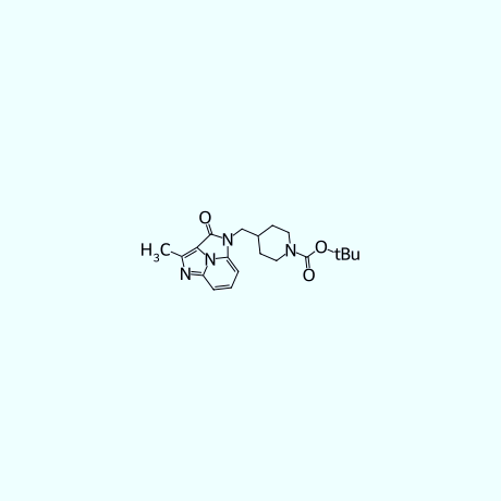 Cc1nc2cccc3n(CC4CCN(C(=O)OC(C)(C)C)CC4)c(=O)c1n23